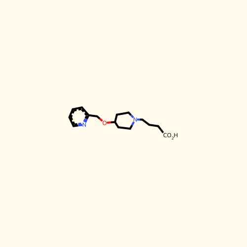 O=C(O)CCCN1CCC(OCc2ccccn2)CC1